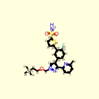 Cc1cccc(-c2nn(COCC[Si](C)(C)C)cc2-c2ccc(F)c(-c3ccc(S(N)(=O)=O)s3)c2)n1